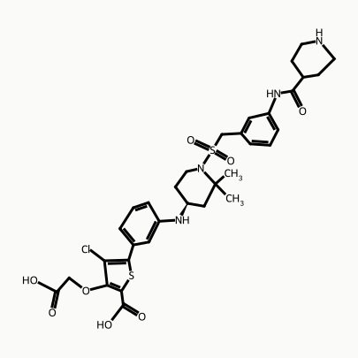 CC1(C)C[C@@H](Nc2cccc(-c3sc(C(=O)O)c(OCC(=O)O)c3Cl)c2)CCN1S(=O)(=O)Cc1cccc(NC(=O)C2CCNCC2)c1